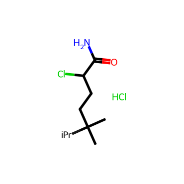 CC(C)C(C)(C)CCC(Cl)C(N)=O.Cl